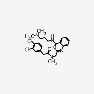 CN(C)CCCNc1nc(CN(C)C(=O)Cc2ccc(Cl)c(Cl)c2)nc2ccccc12